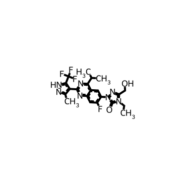 CCn1c(CO)nn(-c2cc3c(C(C)C)nc(-c4c(C)n[nH]c4C(F)(F)F)nc3cc2F)c1=O